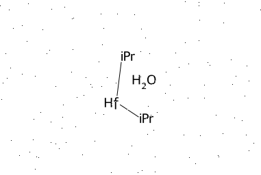 C[CH](C)[Hf][CH](C)C.O